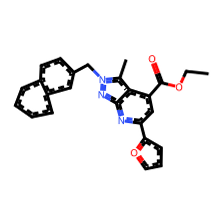 CCOC(=O)c1cc(-c2ccco2)nc2nn(Cc3ccc4ccccc4c3)c(C)c12